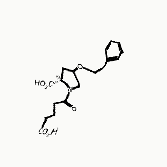 O=C(O)CCCC(=O)N1CC(OCc2ccccc2)C[C@H]1C(=O)O